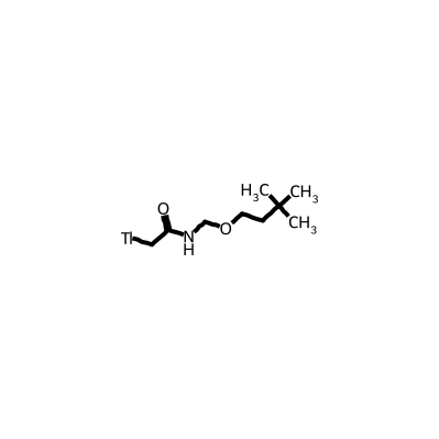 CC(C)(C)CCOCNC(=O)[CH2][Tl]